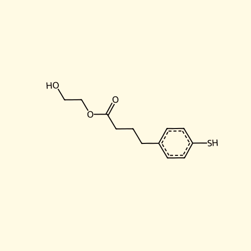 O=C(CCCc1ccc(S)cc1)OCCO